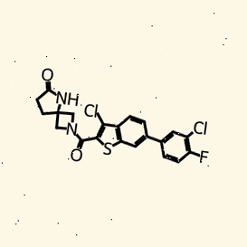 O=C1CCC2(CN(C(=O)c3sc4cc(-c5ccc(F)c(Cl)c5)ccc4c3Cl)C2)N1